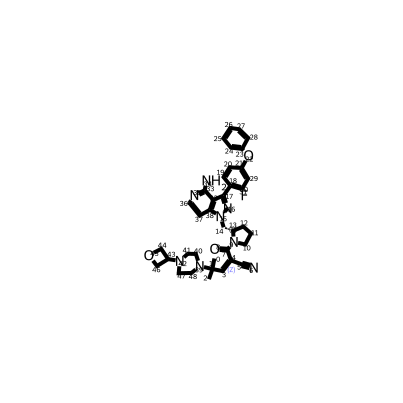 CC(C)(/C=C(/C#N)C(=O)N1CCC[C@H]1Cn1nc(-c2ccc(Oc3ccccc3)cc2F)c2c(N)nccc21)N1CCN(C2COC2)CC1